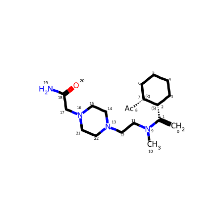 C=C([C@H]1CCCC[C@H]1C(C)=O)N(C)CCN1CCN(CC(N)=O)CC1